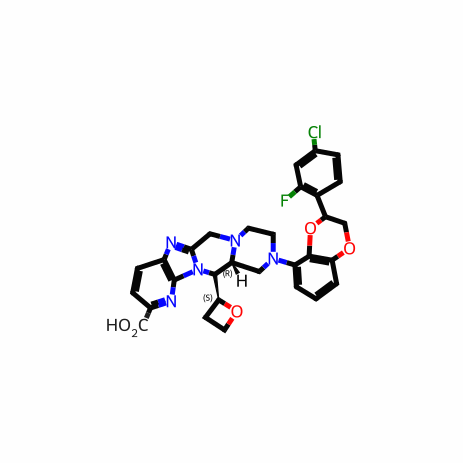 O=C(O)c1ccc2nc3n(c2n1)C([C@@H]1CCO1)[C@H]1CN(c2cccc4c2OC(c2ccc(Cl)cc2F)CO4)CCN1C3